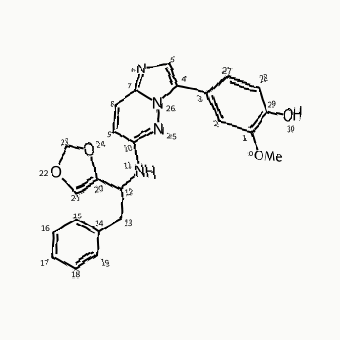 COc1cc(-c2cnc3ccc(NC(Cc4ccccc4)C4=COCO4)nn23)ccc1O